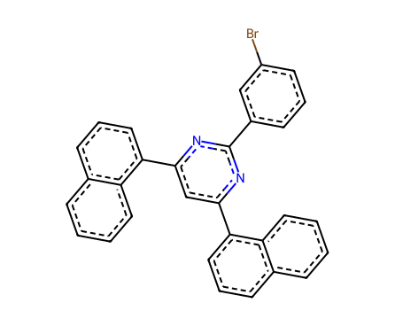 Brc1cccc(-c2nc(-c3cccc4ccccc34)cc(-c3cccc4ccccc34)n2)c1